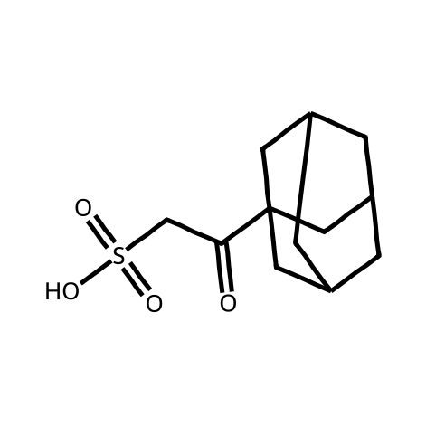 O=C(CS(=O)(=O)O)C12CC3CC(CC(C3)C1)C2